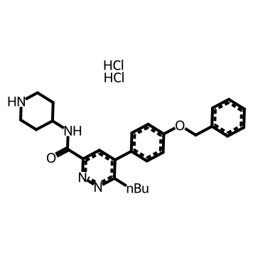 CCCCc1nnc(C(=O)NC2CCNCC2)cc1-c1ccc(OCc2ccccc2)cc1.Cl.Cl